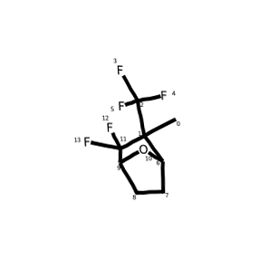 CC1(C(F)(F)F)C2CCC(O2)C1(F)F